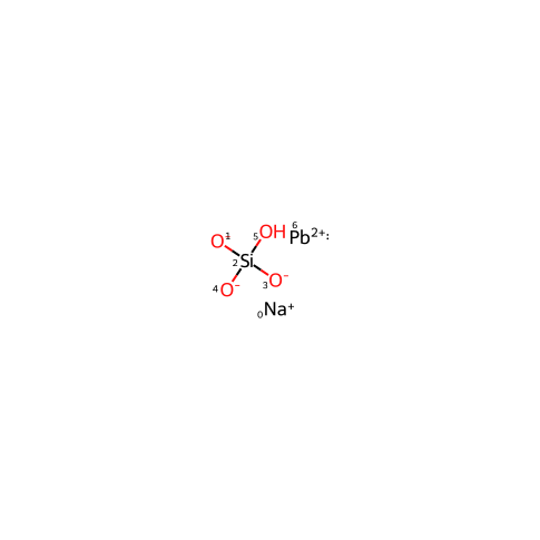 [Na+].[O-][Si]([O-])([O-])O.[Pb+2]